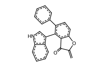 C=C1Oc2ccc(-c3ccccc3)c(-c3c[nH]c4ccccc34)c2C1=O